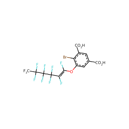 O=C(O)c1cc(OC(F)=C(F)C(F)(F)C(F)(F)C(F)(F)C(F)(F)F)c(Br)c(C(=O)O)c1